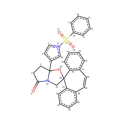 O=C1CCC2(c3ccn(S(=O)(=O)c4ccccc4)c3)OC3(CN12)c1ccccc1C=Cc1ccccc13